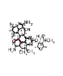 C[C@H](c1cccnc1N)N(C)c1nc(O[C@H]2COC[C@H]2N(C)C)nc2c(F)c(-c3c(F)cc(F)c4sc(N)c(C#N)c34)c(Cl)cc12